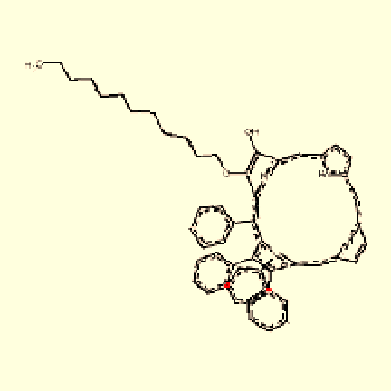 CCCCCCCCCCCCOC1=C(O)c2cc3ccc(cc4nc(cc5c(-c6ccccc6)c(-c6ccccc6)c(c(-c6ccccc6)c1n2)n5-c1ccccc1)C=C4)[nH]3